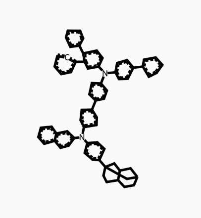 c1ccc(-c2ccc(N(c3ccc(-c4ccc(N(c5ccc(C67CCC8CCC(CC8C6)C7)cc5)c5ccc6ccccc6c5)cc4)cc3)c3ccc(-c4ccccc4)c(-c4ccccc4)c3)cc2)cc1